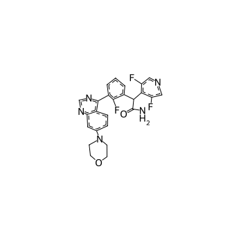 NC(=O)C(c1cccc(-c2ncnc3cc(N4CCOCC4)ccc23)c1F)c1c(F)cncc1F